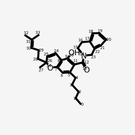 CCCCCc1cc2c(c(O)c1C(=O)N1CCc3ccccc3C1)C=CC(C)(CCC=C(C)C)O2